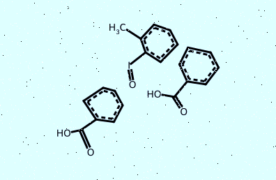 Cc1ccccc1I=O.O=C(O)c1ccccc1.O=C(O)c1ccccc1